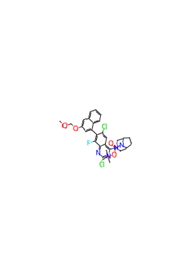 COCOc1cc(-c2c(Cl)cc3c(N4CC5CCC(C4)N5C(=O)OC(C)(C)C)nc(Cl)nc3c2F)c2ccccc2c1